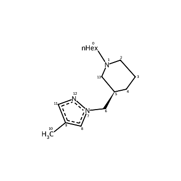 CCCCCCN1CCC[C@@H](Cn2cc(C)cn2)C1